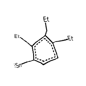 CCc1cc[c]([Sn])c(CC)c1CC